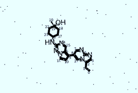 CCc1cnc2ncc(-c3ccn4nc(N[C@H]5CC[C@@](C)(O)CC5)ncc34)cn12